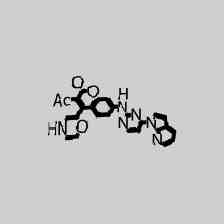 CC(=O)c1c(C2CNCCO2)c2ccc(Nc3nccc(-n4ccc5cccnc54)n3)cc2oc1=O